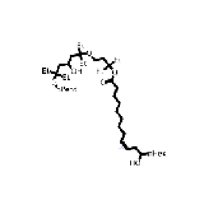 CCCCCCC(O)C/C=C\CCCCCCCC(=O)OC(CC)(CC)CCOC(CC)(CC)CC(O)CC(CC)(CC)OCCCCC